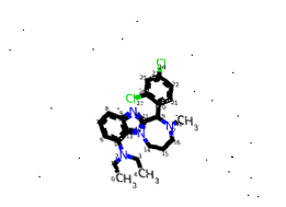 CCN(CC)c1cccc2nc3n(c12)CCCN(C)C3c1ccc(Cl)cc1Cl